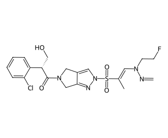 C=NN(/C=C(\C)S(=O)(=O)n1cc2c(n1)CN(C(=O)[C@@H](CO)c1ccccc1Cl)C2)CCF